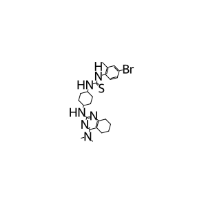 Cc1cc(Br)ccc1NC(=S)NC1CCC(Nc2nc3c(c(N(C)C)n2)CCCC3)CC1